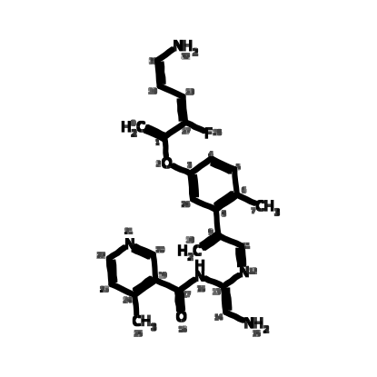 C=C(Oc1ccc(C)c(C(=C)/C=N\C(=C/N)NC(=O)c2cnccc2C)c1)/C(F)=C\C=C/N